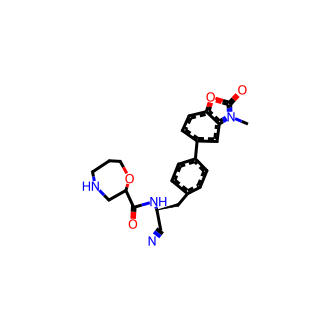 Cn1c(=O)oc2ccc(-c3ccc(C[C@@H](C#N)NC(=O)C4CNCCCO4)cc3)cc21